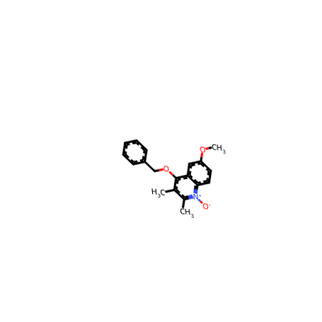 COc1ccc2c(c1)c(OCc1ccccc1)c(C)c(C)[n+]2[O-]